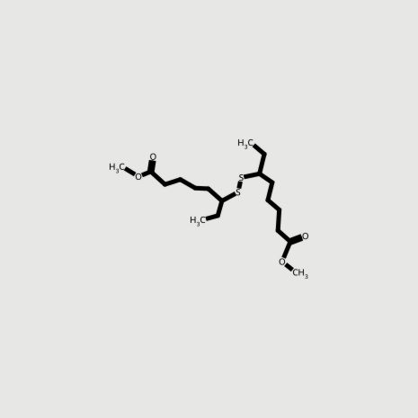 CCC(CCCCC(=O)OC)SSC(CC)CCCCC(=O)OC